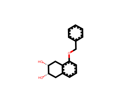 O[C@@H]1Cc2c(cccc2OCc2ccccc2)C[C@@H]1O